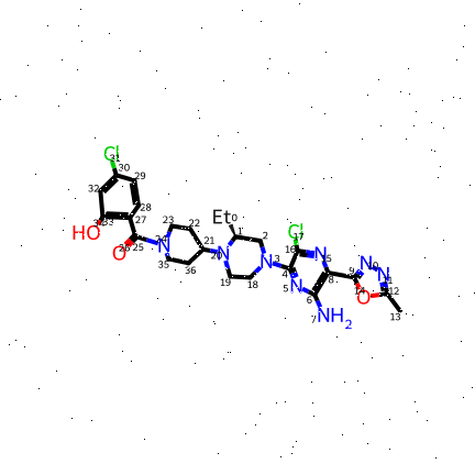 CC[C@H]1CN(c2nc(N)c(-c3nnc(C)o3)nc2Cl)CCN1C1CCN(C(=O)c2ccc(Cl)cc2O)CC1